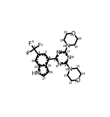 FC(F)(F)c1cc(-c2nc(N3CCOCC3)nc(N3CCOCC3)n2)c2cc[nH]c2c1